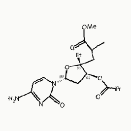 CC[C@]1(CC(C)C(=O)OC)O[C@@H](n2ccc(N)nc2=O)C[C@@H]1OC(=O)C(C)C